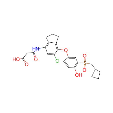 O=C(O)CC(=O)Nc1cc(Cl)c(Oc2ccc(O)c(S(=O)(=O)CC3CCC3)c2)c2c1CCC2